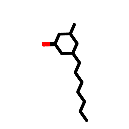 CCCCCCCC1CC(=O)CC(C)C1